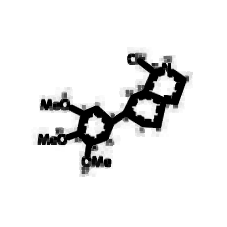 COc1cc(-c2ccc3ccnc(Cl)c3c2)cc(OC)c1OC